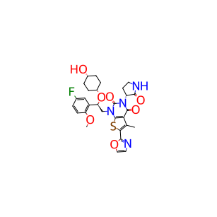 COc1ccc(F)cc1[C@H](Cn1c(=O)n([C@@H]2CCNC2=O)c(=O)c2c(C)c(-c3ncco3)sc21)O[C@H]1CC[C@@H](O)CC1